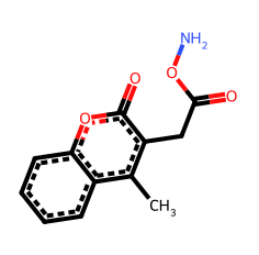 Cc1c(CC(=O)ON)c(=O)oc2ccccc12